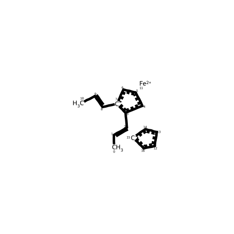 CC=Cc1ccc[c-]1C=CC.[Fe+2].c1cc[cH-]c1